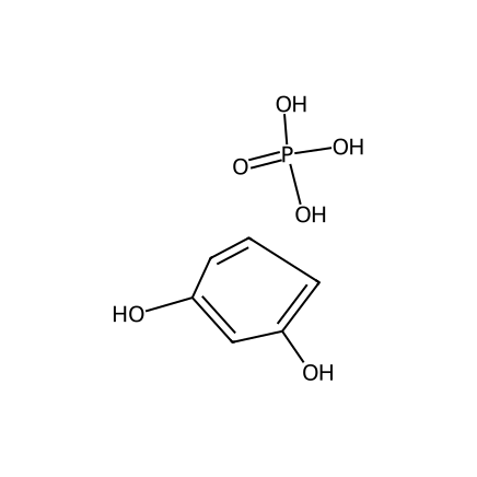 O=P(O)(O)O.Oc1cccc(O)c1